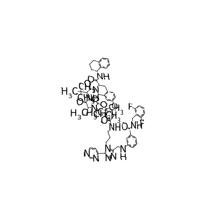 C[C@@H](C(=O)N[C@H](C(=O)N1Cc2cc(OCCC(=O)NCCCn3c(CNc4cccc(C(=O)NCc5c(F)cccc5F)c4)nnc3-c3ccncn3)ccc2CC1C(=O)N[C@@H]1CCCc2ccccc21)C(C)(C)C)N(C)C(=O)OC(C)(C)C